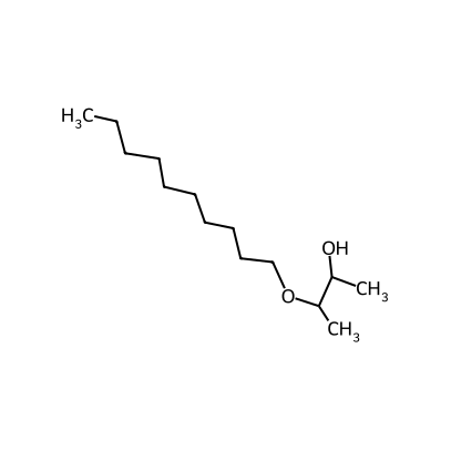 CCCCCCCCCCOC(C)C(C)O